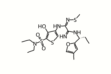 CC[C@@H](NC(=N)/C(=N\SC)Nc1csc(S(=O)(=O)N(CC)CC)c1O)c1cc(C)co1